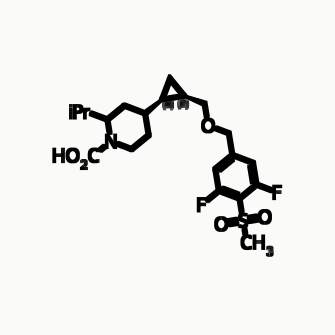 CC(C)C1CC([C@H]2C[C@H]2COCc2cc(F)c(S(C)(=O)=O)c(F)c2)CCN1C(=O)O